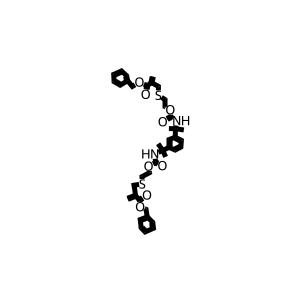 C=C(CSCCOC(=O)NC(C)(C)c1cccc(C(C)(C)NC(=O)OCCSCC(=C)C(=O)OCc2ccccc2)c1)C(=O)OCc1ccccc1